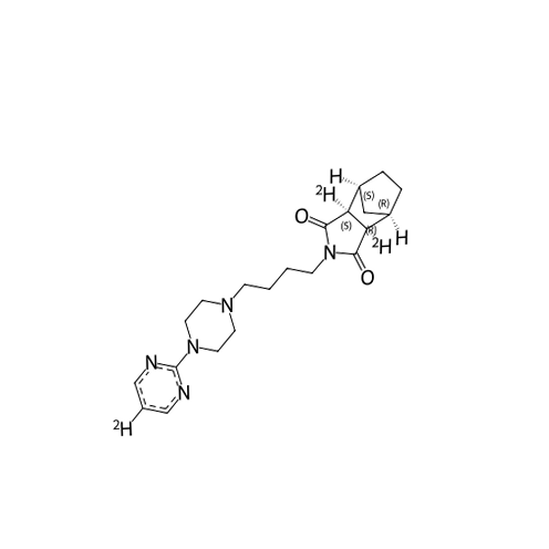 [2H]c1cnc(N2CCN(CCCCN3C(=O)[C@@]4([2H])[C@H]5CC[C@H](C5)[C@@]4([2H])C3=O)CC2)nc1